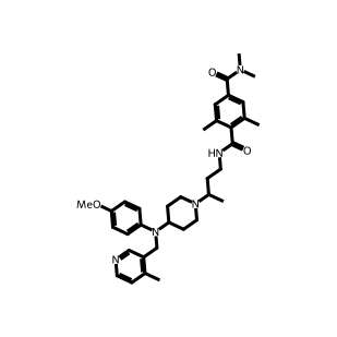 COc1ccc(N(Cc2cnccc2C)C2CCN(C(C)CCNC(=O)c3c(C)cc(C(=O)N(C)C)cc3C)CC2)cc1